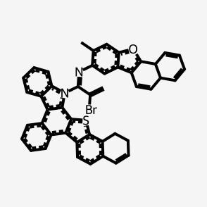 C=C(Br)/C(=N\c1cc2c3c(oc2cc1C)C1C=CC=CC1C=C3)n1c2ccccc2c2c3ccccc3c3c4ccc5c(c4sc3c21)CCC=C5